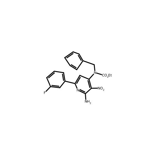 CCOC(=O)N(Cc1ccccc1)c1cc(-c2cccc(F)c2)nc(N)c1[N+](=O)[O-]